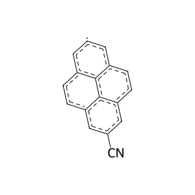 N#Cc1cc2ccc3c[c]cc4ccc(c1)c2c34